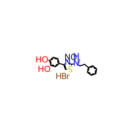 Br.O=[N+]([O-])N1C(c2ccc(O)c(O)c2)=CSC1NCCc1ccccc1